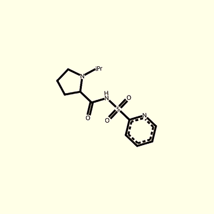 CC(C)N1CCCC1C(=O)NS(=O)(=O)c1ccccn1